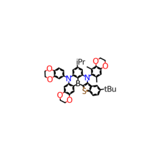 Cc1cc2c(c(C)c1N1c3cc(C(C)C)cc4c3B(c3cc5c(cc3N4c3ccc4c(c3)OCCO4)OCCO5)c3sc4ccc(C(C)(C)C)cc4c31)OCCO2